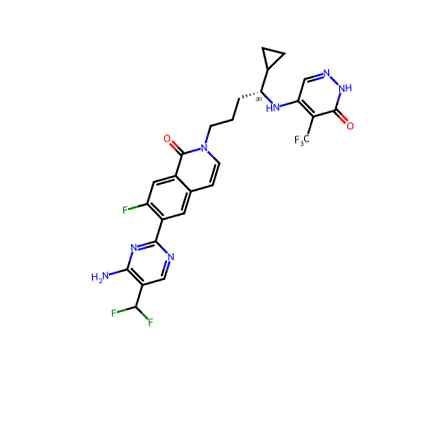 Nc1nc(-c2cc3ccn(CCC[C@@H](Nc4cn[nH]c(=O)c4C(F)(F)F)C4CC4)c(=O)c3cc2F)ncc1C(F)F